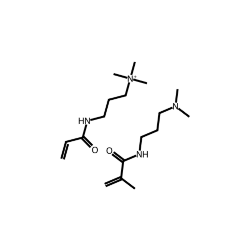 C=C(C)C(=O)NCCCN(C)C.C=CC(=O)NCCC[N+](C)(C)C